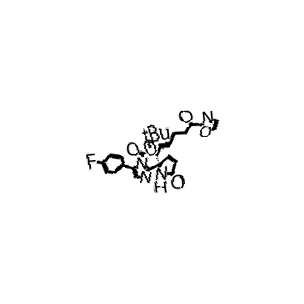 CC(C)(C)OC(=O)n1c(-c2ccc(F)cc2)cnc1[C@@]1(C/C=C/CCC(=O)c2ncco2)CCC(=O)N1